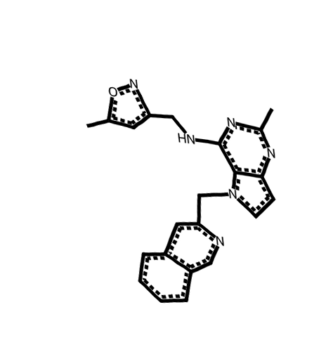 Cc1nc(NCc2cc(C)on2)c2c(ccn2Cc2cc3ccccc3cn2)n1